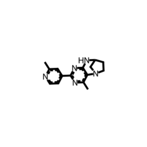 Cc1cc(-c2nc(C)c3c(n2)NC2CCN3C2)ccn1